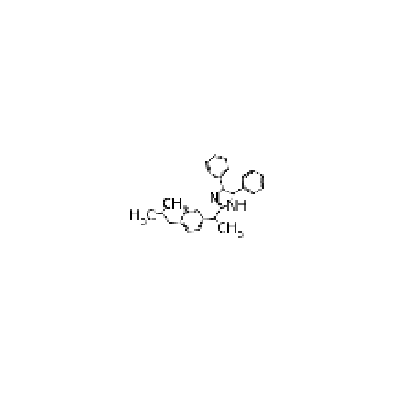 CC(C)Cc1ccc(C(C)C2=NC(c3ccccc3)C(c3ccccc3)N2)cc1